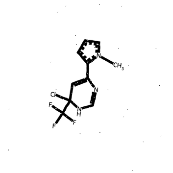 Cn1cccc1C1=CC(Cl)(C(F)(F)F)NC=N1